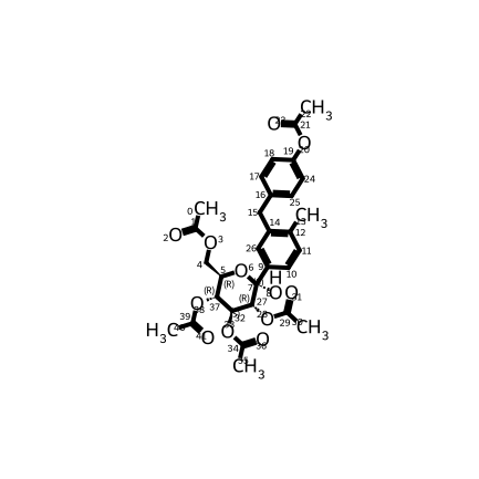 CC(=O)OC[C@H]1O[C@@](O)(c2ccc(C)c(Cc3ccc(OC(C)=O)cc3)c2)[C@H](OC(C)=O)[C@@H](OC(C)=O)[C@@H]1OC(C)=O